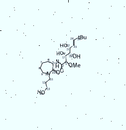 CO[C@@H](C(=O)N[C@H]1CCCCN(CCCO)C1=O)[C@H](O)[C@@H](O)[C@H](O)/C=C/C(C)(C)C